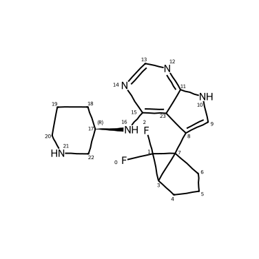 FC1(F)C2CCCC21c1c[nH]c2ncnc(N[C@@H]3CCCNC3)c12